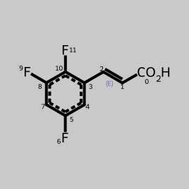 O=C(O)/C=C/c1cc(F)cc(F)c1F